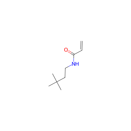 C=CC(=O)NCCC(C)(C)C